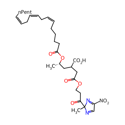 CCCCC/C=C\C/C=C\C/C=C\CCCCC(=O)O[C@@H](C)CC(CC(=O)OCCC(=O)C1(C)N=CC([N+](=O)[O-])=N1)C(=O)O